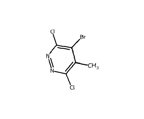 Cc1c(Cl)nnc(Cl)c1Br